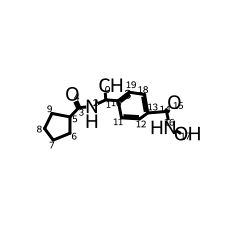 CC(NC(=O)C1CCCC1)c1ccc(C(=O)NO)cc1